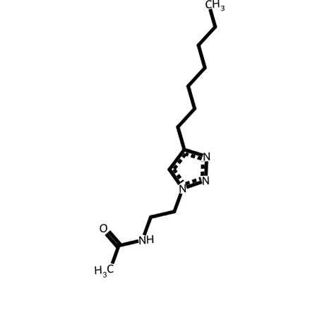 CCCCCCCc1cn(CCNC(C)=O)nn1